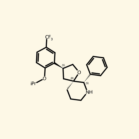 CC(C)Oc1ccc(C(F)(F)F)cc1[C@H]1CO[C@]2(CCCN[C@H]2c2ccccc2)C1